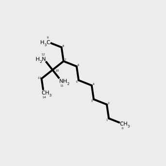 CCCCCCCC(CC)C(N)(N)CC